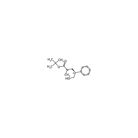 CN(C[C@H](CO)c1ccccc1)C(=O)OC(C)(C)C